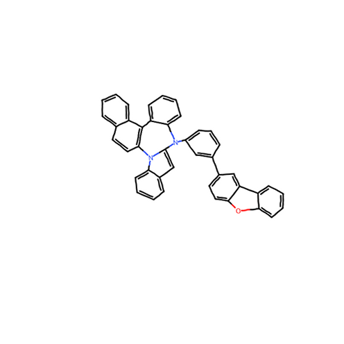 c1cc(-c2ccc3oc4ccccc4c3c2)cc(N2c3ccccc3-c3c(ccc4ccccc34)-n3c2cc2ccccc23)c1